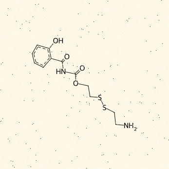 NCCSSCCOC(=O)NC(=O)c1ccccc1O